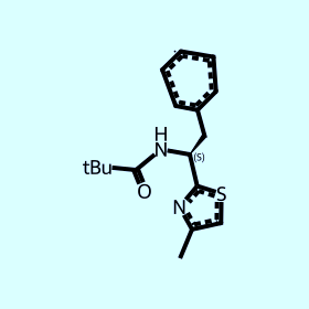 Cc1csc([C@H](Cc2cc[c]cc2)NC(=O)C(C)(C)C)n1